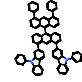 c1ccc(-c2cccc3c(-c4c5cccc(-c6ccc7c8ccccc8n(-c8ccccc8)c7c6)c5cc5c(-c6ccc7c8ccccc8n(-c8ccccc8)c7c6)cccc45)c4cccc(-c5ccccc5)c4cc23)cc1